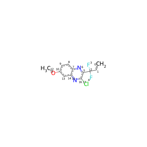 C=CC(F)(F)c1nc2ccc(OC)cc2nc1Cl